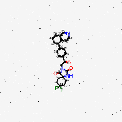 O=C(CN1C(=O)NC2(CCC(F)(F)CC2)C1=O)c1ccc(-c2cccc3cnccc23)cc1